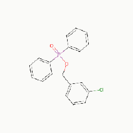 O=P(OCc1cccc(Cl)c1)(c1ccccc1)c1ccccc1